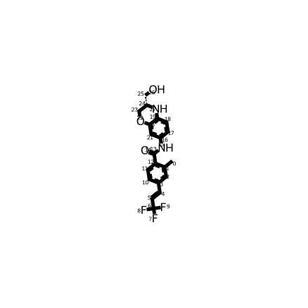 Cc1cc(C=CC(F)(F)F)ccc1C(=O)Nc1ccc2c(c1)OC[C@H](CO)N2